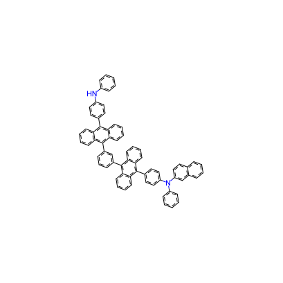 c1ccc(Nc2ccc(-c3c4ccccc4c(-c4cccc(-c5c6ccccc6c(-c6ccc(N(c7ccccc7)c7ccc8ccccc8c7)cc6)c6ccccc56)c4)c4ccccc34)cc2)cc1